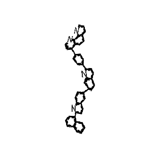 c1ccc2c(-c3ccc4cc(-c5ccc6ccc(-c7ccc(-c8ccnc9c8ccc8cccnc89)cc7)nc6c5)ccc4n3)cccc2c1